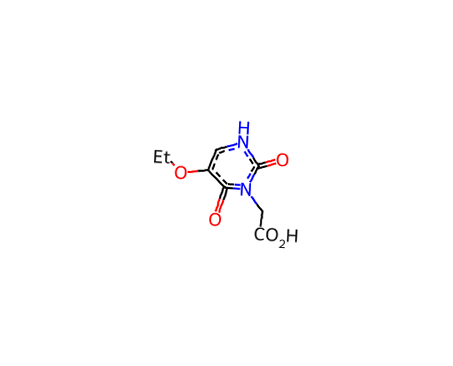 CCOc1c[nH]c(=O)n(CC(=O)O)c1=O